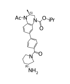 CC(=O)N1c2ccc(-c3ccc(C(=O)N4CCC[C@@H](N)C4)cc3)cc2N(C(=O)OC(C)C)C[C@@H]1C